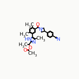 CC(=O)OC(C)c1nc(C)c(-c2cc(C(=O)N3CC(c4ccc(C#N)cc4)C3)c(C)cc2C)[nH]1